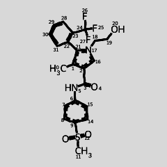 Cc1c(C(=O)Nc2ccc(S(C)(=O)=O)cc2)cn(CCO)c1C1=C(C(F)(F)F)C=C=C=C1